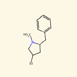 CCC1CC(Cc2ccccc2)N(C(=O)O)C1